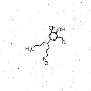 CCCCC(CCCN=O)c1cc(C)c(O)c(C=O)c1